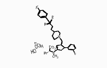 CC(C)[C@H](C(=O)O)N(C)C1CC(CN2CCC(CCC(F)(F)c3ccc(F)cc3)CC2)C(c2cccc(F)c2)C1.Cl.Cl.Cl